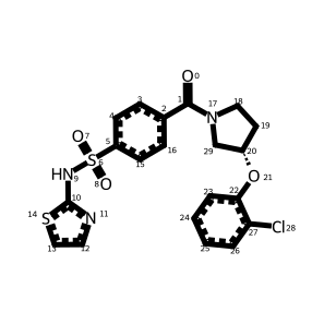 O=C(c1ccc(S(=O)(=O)Nc2nccs2)cc1)N1CC[C@H](Oc2ccccc2Cl)C1